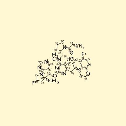 C#Cc1c(F)ccc2c1N([C@@H]1CCc3c(nc(OC[C@]4(C)C[C@@H](F)CN4c4ccncn4)nc3N(C)C[C@@H]3CCCN3C(=O)C=C)C1)CCO2